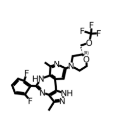 Cc1n[nH]c2c1N=C(c1c(F)cccc1F)Nc1c-2cc(N2CCO[C@@H](COC(F)(F)F)C2)nc1C